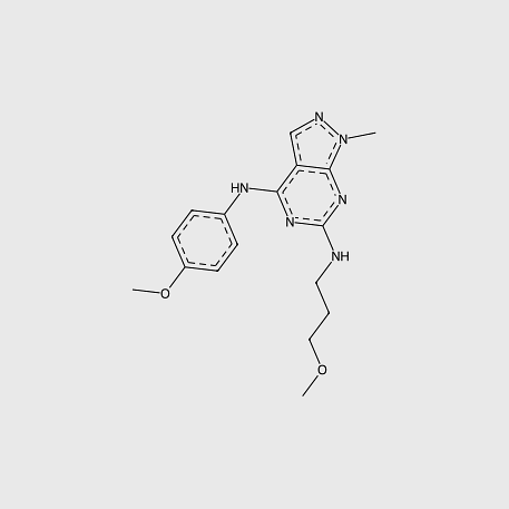 COCCCNc1nc(Nc2ccc(OC)cc2)c2cnn(C)c2n1